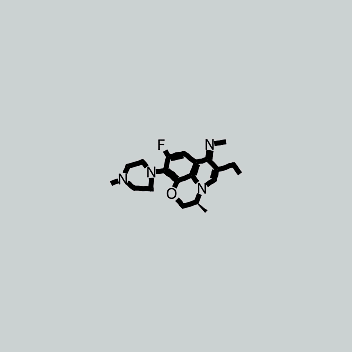 CCc1cn2c3c(c(N4CCN(C)CC4)c(F)cc3/c1=N/C)OC[C@@H]2C